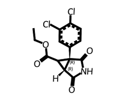 CCOC(=O)C1[C@H]2C(=O)NC(=O)[C@@]12c1ccc(Cl)c(Cl)c1